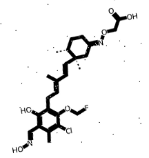 CC(/C=C/[C@]1(C)C/C(=N/OCC(=O)O)CC[C@H]1C)=C\Cc1c(O)c(/C=N/O)c(C)c(Cl)c1OCF